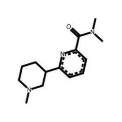 CN1CCCC(c2cccc(C(=O)N(C)C)n2)C1